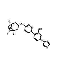 C[C@]12C[C@@H](Oc3ccc(-c4ccc(-n5ccnc5)cc4O)nn3)C[C@H](C[C@@H]1F)N2